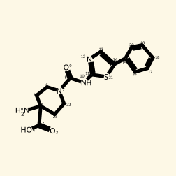 NC1(C(=O)O)CCN(C(=O)Nc2ncc(-c3ccccc3)s2)CC1